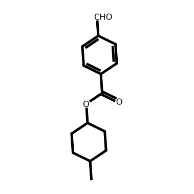 CC1CCC(OC(=O)c2ccc(C=O)cc2)CC1